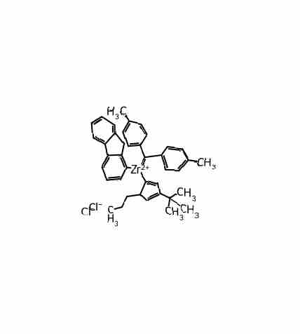 CCCC1C=C(C(C)(C)C)C=[C]1[Zr+2](=[C](c1ccc(C)cc1)c1ccc(C)cc1)[c]1cccc2c1Cc1ccccc1-2.[Cl-].[Cl-]